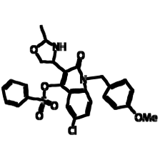 COc1ccc(Cn2c(=O)c(C3COC(C)N3)c(OS(=O)(=O)c3ccccc3)c3cc(Cl)ccc32)cc1